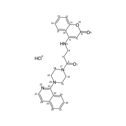 Cl.O=C(CCNc1cc(=O)oc2ccccc12)N1CCN(c2nccc3ccccc23)CC1